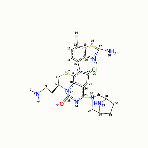 CN(C)CC[C@H]1CSc2c(-c3ccc(F)c4sc(N)nc34)c(Cl)cc3c(N4CC5CCC(C4)N5)nc(=O)n1c23